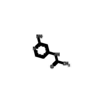 CC(=O)Nc1ccnc([NH])c1